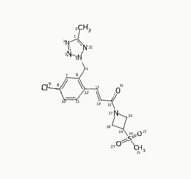 Cc1nnn(Cc2cc(Cl)ccc2/C=C/C(=O)N2CC(S(C)(=O)=O)C2)n1